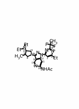 CCc1cc(-n2nc(N3CC(C)C(N(CC)CC)C3)c3cnc(NC(C)=O)cc32)nc(C(C)(F)F)n1